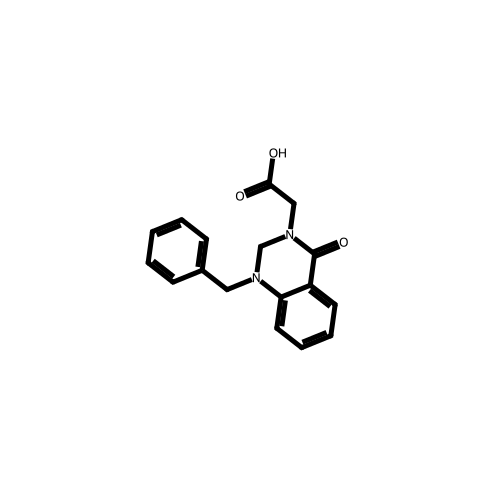 O=C(O)CN1CN(Cc2ccccc2)c2ccccc2C1=O